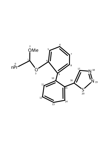 CCCC(OC)Oc1ccccc1-c1ccccc1-c1[c]nns1